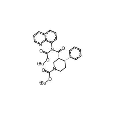 CC(C)(C)OC(=O)N1CC[C@@H](c2ccccc2)[C@@H](C(=O)N(C(=O)OC(C)(C)C)c2cccc3cccnc23)C1